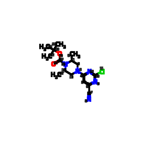 C[C@H]1CN(c2cc(C#N)nc(Cl)n2)C[C@H](C)N1C(=O)OC(C)(C)C